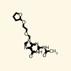 CC(=O)Nc1nc2c(ncn2COCCOC2CCCO2)c(=O)[nH]1